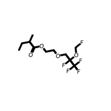 CCC(C)C(=O)OCCOCC(F)(OCF)C(F)(F)F